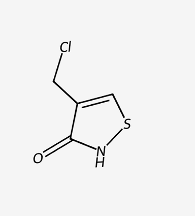 O=c1[nH]scc1CCl